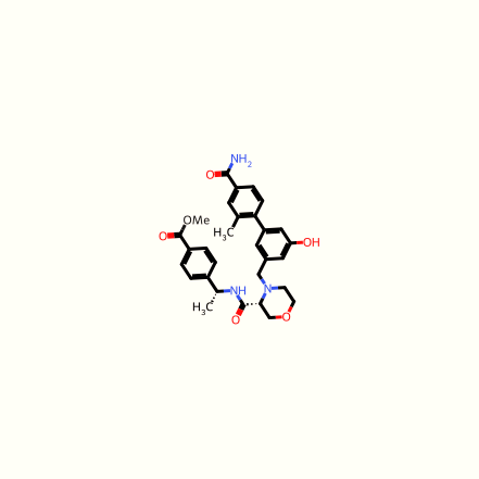 COC(=O)c1ccc([C@@H](C)NC(=O)[C@H]2COCCN2Cc2cc(O)cc(-c3ccc(C(N)=O)cc3C)c2)cc1